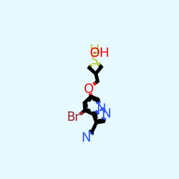 N#Cc1cnn2cc(OCC3C[SH](O)C3)cc(Br)c12